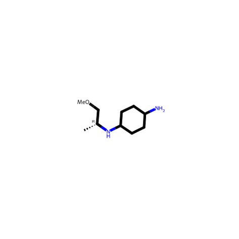 COC[C@@H](C)NC1CCC(N)CC1